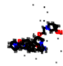 N#Cc1cnn2cc(OCCN3CC4CC4(O)C3)cc(-c3ccc(N4CC5CC(C4)N5C(=O)Cc4ccc(OC(F)(F)F)cc4)nc3)c12